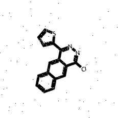 Clc1nnc(-c2cccs2)c2cc3ccccc3cc12